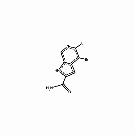 NC(=O)c1cc2c(Br)c(Cl)ncc2[nH]1